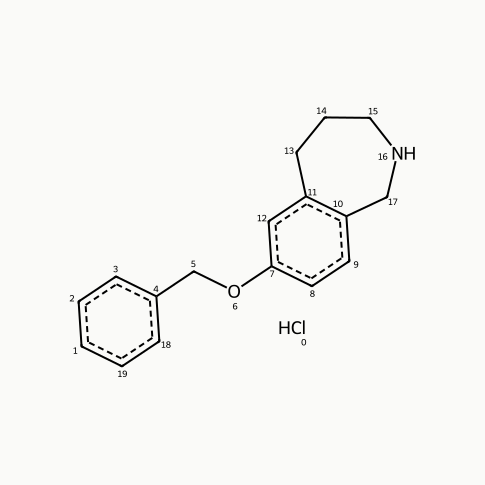 Cl.c1ccc(COc2ccc3c(c2)CCCNC3)cc1